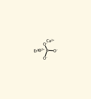 [Ca+2].[Er+3].[O+2].[O-]B([O-])[O-]